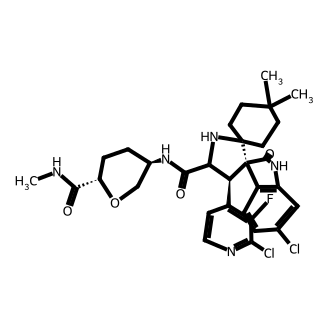 CNC(=O)[C@@H]1CC[C@@H](NC(=O)C2NC3(CCC(C)(C)CC3)[C@@]3(C(=O)Nc4cc(Cl)ccc43)[C@H]2c2ccnc(Cl)c2F)CO1